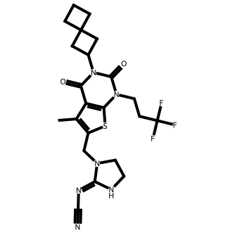 Cc1c(CN2CCNC2=NC#N)sc2c1c(=O)n(C1CC3(CCC3)C1)c(=O)n2CCC(F)(F)F